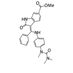 COC(=O)c1ccc2c(c1)NC(=O)/C2=C(/Nc1ccc(N(C)C(=O)N(C)C)cc1)c1ccccc1